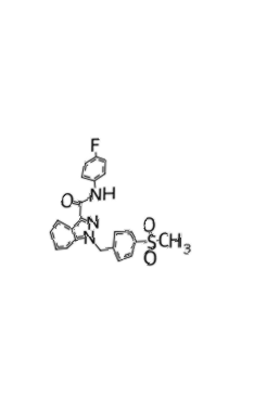 CS(=O)(=O)c1ccc(Cn2nc(C(=O)Nc3ccc(F)cc3)c3ccccc32)cc1